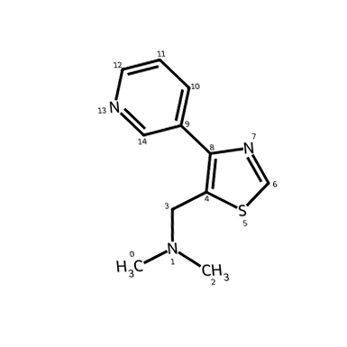 CN(C)Cc1scnc1-c1cccnc1